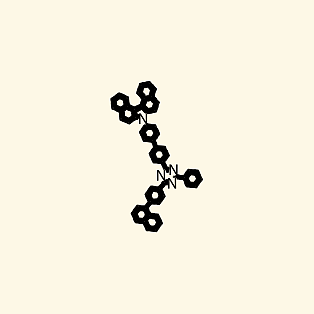 c1ccc(-c2nc(-c3ccc(-c4ccc(-n5c6ccc7ccccc7c6c6c7ccccc7ccc65)cc4)cc3)nc(-c3ccc(-c4cccc5ccccc45)cc3)n2)cc1